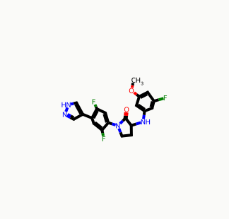 COc1cc(F)cc(NC2CCN(c3cc(F)c(-c4cn[nH]c4)cc3F)C2=O)c1